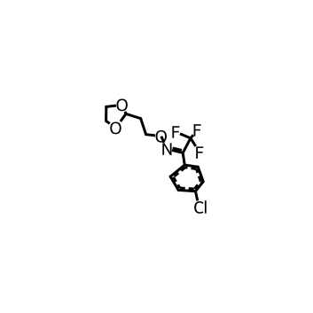 FC(F)(F)C(=NOCCC1OCCO1)c1ccc(Cl)cc1